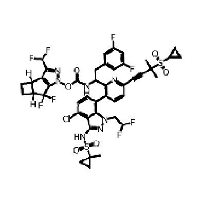 CC1(S(=O)(=O)Nc2nn(CC(F)F)c3c(-c4ccc(C#CC(C)(C)S(=O)(=O)C5CC5)nc4[C@H](Cc4cc(F)cc(F)c4)NC(=O)On4nc(C(F)F)c5c4C(F)(F)[C@@H]4CC[C@H]54)ccc(Cl)c23)CC1